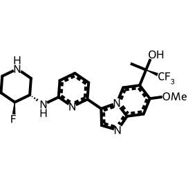 COc1cc2ncc(-c3cccc(N[C@H]4CNCC[C@@H]4F)n3)n2cc1[C@](C)(O)C(F)(F)F